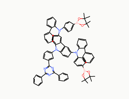 CC1(C)OB(c2ccc(N(c3ccc4c(c3)c3cc(N(c5ccc(B6OC(C)(C)C(C)(C)O6)cc5)c5ccccc5-c5ccccc5)ccc3n4-c3cccc(-c4nc(-c5ccccc5)nc(-c5ccccc5)n4)c3)c3ccccc3-c3ccccc3)cc2)OC1(C)C